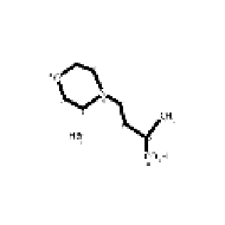 Br.CC(CCN1CCOCC1)C(=O)O